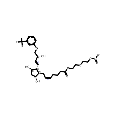 O=C(CCC/C=C\C[C@@H]1[C@@H](/C=C/[C@@H](O)COc2cccc(C(F)(F)F)c2)[C@H](O)C[C@@H]1O)OCCOCCO[N+](=O)[O-]